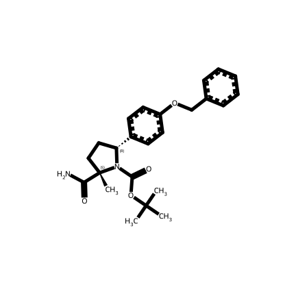 CC(C)(C)OC(=O)N1[C@@H](c2ccc(OCc3ccccc3)cc2)CC[C@@]1(C)C(N)=O